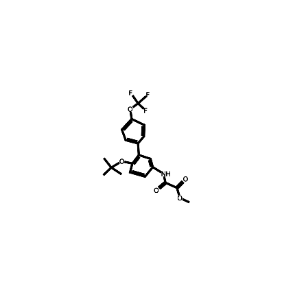 COC(=O)C(=O)Nc1ccc(OC(C)(C)C)c(-c2ccc(OC(F)(F)F)cc2)c1